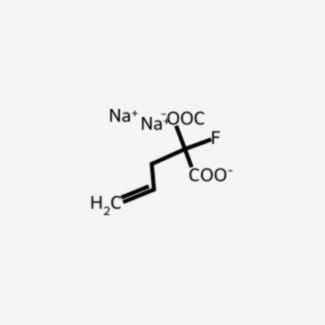 C=CCC(F)(C(=O)[O-])C(=O)[O-].[Na+].[Na+]